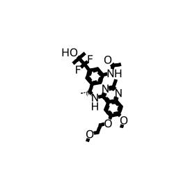 COCCOc1cc2c(N[C@H](C)c3cc(NC(C)=O)cc(C(F)(F)C(C)(C)O)c3)nc(C)nc2cc1OC